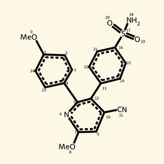 COc1ccc(-c2nc(OC)cc(C#N)c2-c2ccc(S(N)(=O)=O)cc2)cc1